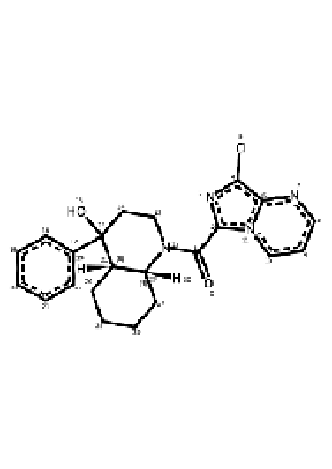 O=C(c1nc(Cl)c2ncccn12)N1CCC(O)(c2ccccc2)[C@H]2CCCC[C@H]21